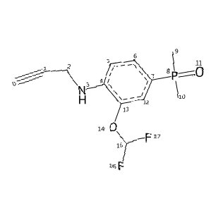 C#CCNc1ccc(P(C)(C)=O)cc1OC(F)F